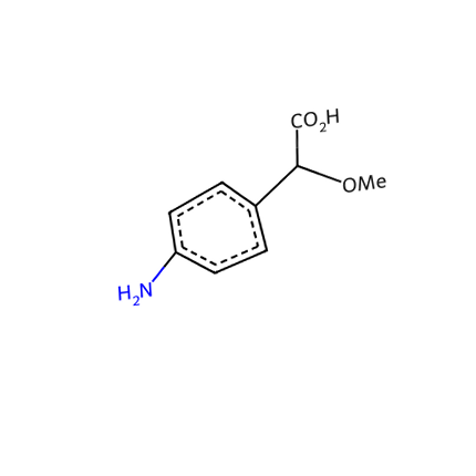 COC(C(=O)O)c1ccc(N)cc1